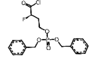 O=C(Cl)[C@H](F)CCOP(=O)(OCc1ccccc1)OCc1ccccc1